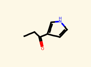 CCC(=O)c1cc[nH]c1